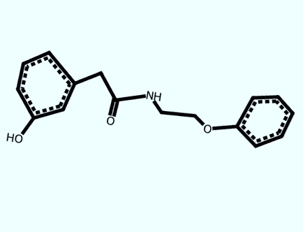 O=C(Cc1cccc(O)c1)NCCOc1ccccc1